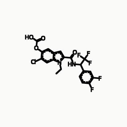 CCn1c(C(=O)NC(c2ccc(F)c(F)c2)C(F)(F)F)cc2cc(OC(=O)O)c(Cl)cc21